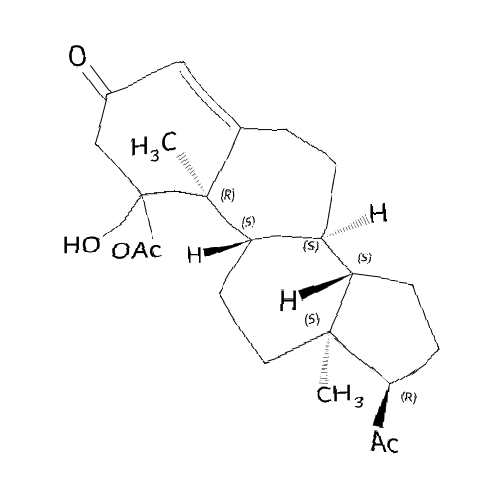 CC(=O)OC1(O)CC(=O)C=C2CC[C@H]3[C@@H]4CC[C@@H](C(C)=O)[C@@]4(C)CC[C@@H]3[C@]21C